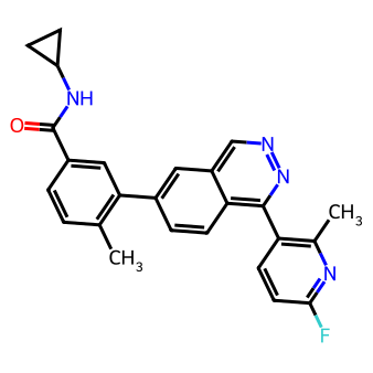 Cc1ccc(C(=O)NC2CC2)cc1-c1ccc2c(-c3ccc(F)nc3C)nncc2c1